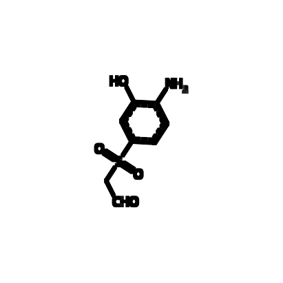 Nc1ccc(S(=O)(=O)CC=O)cc1O